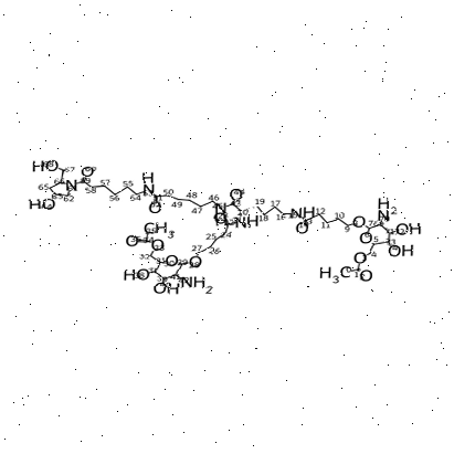 CC(=O)OCC1OC(OCCCCC(=O)NCCCC[C@H](NC(=O)CCCCOC2OC(COC(C)=O)C(O)C(O)C2N)C(=O)NCCCCCC(=O)NCCCCCC(=O)N2C[C@H](O)C[C@H]2CO)C(N)C(O)C1O